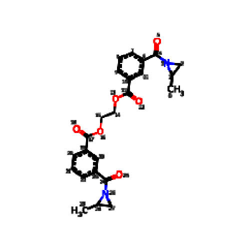 CC1CN1C(=O)c1cccc(C(=O)OCCOC(=O)c2cccc(C(=O)N3CC3C)c2)c1